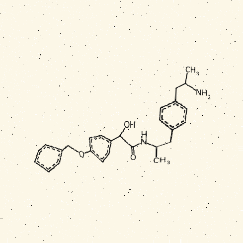 CC(N)Cc1ccc(CC(C)NC(=O)C(O)c2ccc(OCc3ccccc3)cc2)cc1